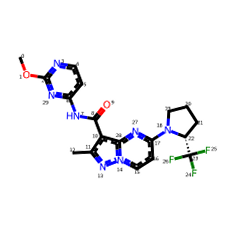 COc1nccc(NC(=O)c2c(C)nn3ccc(N4CCC[C@@H]4C(F)(F)F)nc23)n1